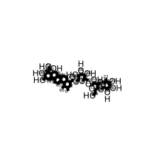 CC1CC(C(=O)OC2OC(COC3OC(CO)[C@@H](OC4OC(C)[C@H](O)C(O)[C@@H]4O)C(O)[C@@H]3O)[C@@H](O)C(O)[C@@H]2O)C2CCC3(C)C(=CCC4C3CC(O)C3C(C)(CO)C(O)C(O)CC43C)C2C1C